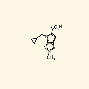 Cn1cc2cc(C(=O)O)n(CC3CC3)c2n1